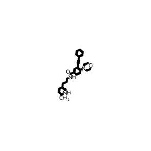 C=C1C=CC(CCCNC(=O)c2ccc(N3CCOCC3)c(C#Cc3ccccc3)c2)=CN1